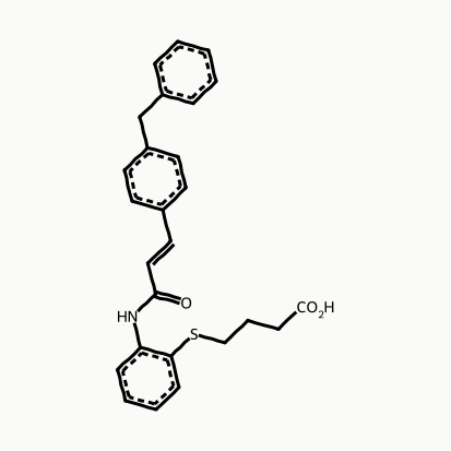 O=C(O)CCCSc1ccccc1NC(=O)/C=C/c1ccc(Cc2ccccc2)cc1